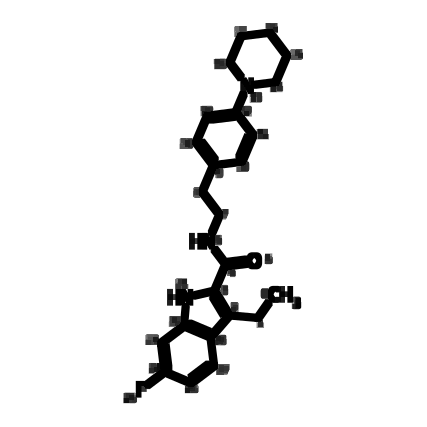 CCc1c(C(=O)NCCc2ccc(N3CCCCC3)cc2)[nH]c2cc(F)ccc12